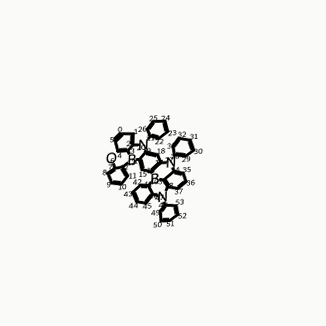 c1cc2c3c(c#1)Oc1ccccc1B3c1cc3c(cc1N2c1ccccc1)N(c1ccccc1)c1cccc2c1B3c1ccccc1N2c1ccccc1